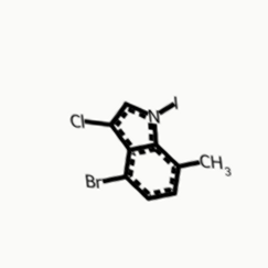 Cc1ccc(Br)c2c(Cl)cn(I)c12